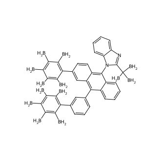 Bc1c(B)c(B)c(-c2cccc(-c3c4ccccc4c(-n4c(C(B)(B)B)nc5ccccc54)c4ccc(-c5c(B)c(B)c(B)c(B)c5B)cc34)c2)c(B)c1B